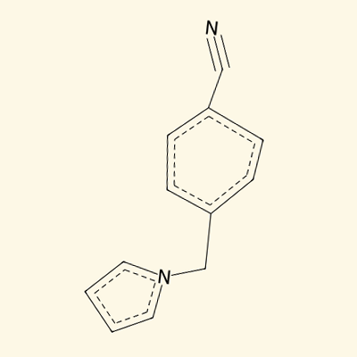 N#Cc1ccc(Cn2cccc2)cc1